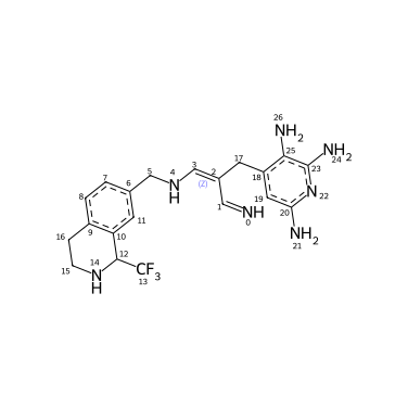 N=C/C(=C\NCc1ccc2c(c1)C(C(F)(F)F)NCC2)Cc1cc(N)nc(N)c1N